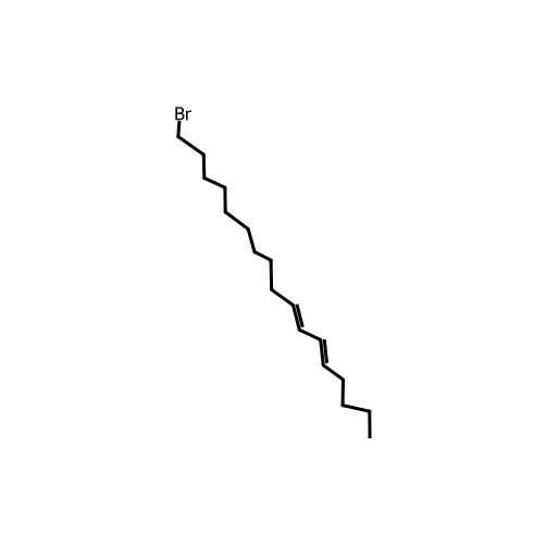 CCCC/C=C/C=C/CCCCCCCCCBr